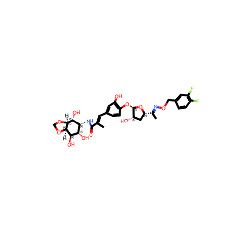 CC(=Cc1ccc(O[C@@H]2O[C@H](C(C)=NOCc3ccc(F)c(F)c3)C[C@@H]2O)c(O)c1)C(=O)N[C@@H]1[C@H](O)[C@@H](O)[C@H]2OCO[C@H]2[C@@H]1O